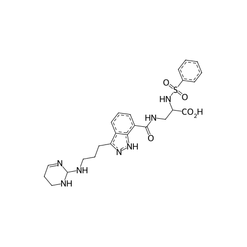 O=C(NCC(NS(=O)(=O)c1ccccc1)C(=O)O)c1cccc2c(CCCNC3N=CCCN3)n[nH]c12